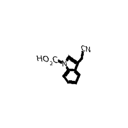 N#CCc1cn(C(=O)O)c2ccccc12